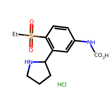 CCS(=O)(=O)c1ccc(NC(=O)O)cc1C1CCCN1.Cl